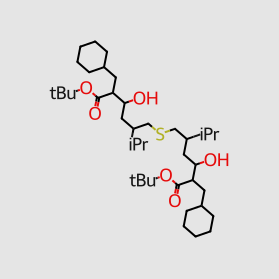 CC(C)C(CSCC(CC(O)C(CC1CCCCC1)C(=O)OC(C)(C)C)C(C)C)CC(O)C(CC1CCCCC1)C(=O)OC(C)(C)C